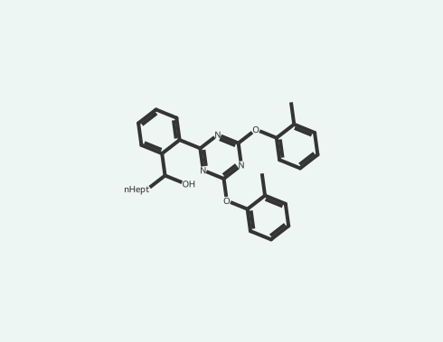 CCCCCCCC(O)c1ccccc1-c1nc(Oc2ccccc2C)nc(Oc2ccccc2C)n1